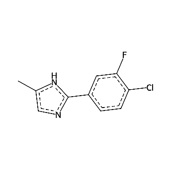 Cc1cnc(-c2ccc(Cl)c(F)c2)[nH]1